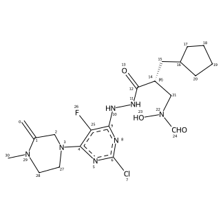 C=C1CN(c2nc(Cl)nc(NNC(=O)[C@H](CC3CCCC3)CN(O)C=O)c2F)CCN1C